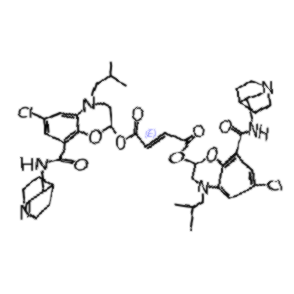 CC(C)CN1CC(OC(=O)/C=C/C(=O)OC2CN(CC(C)C)c3cc(Cl)cc(C(=O)NC4CN5CCC4CC5)c3O2)Oc2c(C(=O)NC3CN4CCC3CC4)cc(Cl)cc21